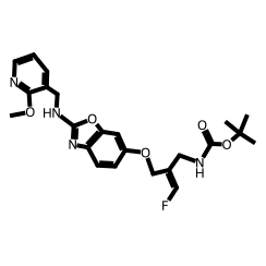 COc1ncccc1CNc1nc2ccc(OC/C(=C\F)CNC(=O)OC(C)(C)C)cc2o1